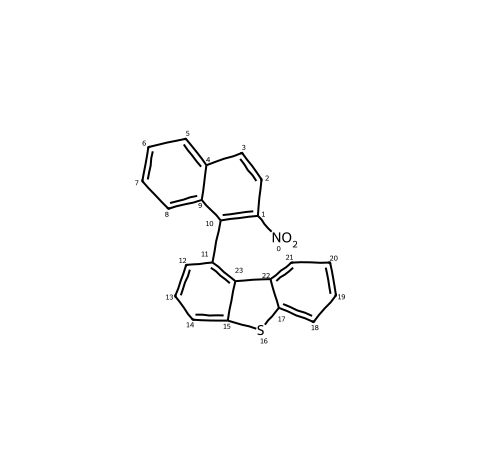 O=[N+]([O-])c1ccc2ccccc2c1-c1cccc2sc3ccccc3c12